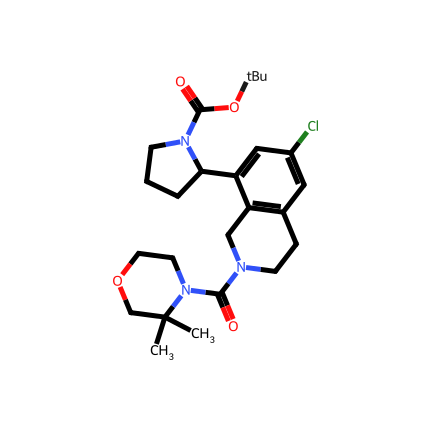 CC(C)(C)OC(=O)N1CCCC1c1cc(Cl)cc2c1CN(C(=O)N1CCOCC1(C)C)CC2